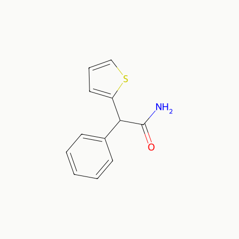 NC(=O)C(c1ccccc1)c1cccs1